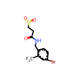 O=C(CC[SH](=O)=O)NCc1ccc(Br)cc1C(F)(F)F